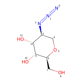 [N-]=[N+]=N[C@H]1CO[C@@H](CO)[C@H](O)[C@@H]1O